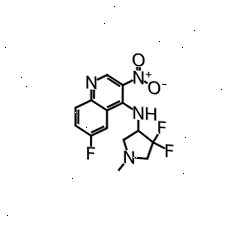 CN1CC(Nc2c([N+](=O)[O-])cnc3ccc(F)cc23)C(F)(F)C1